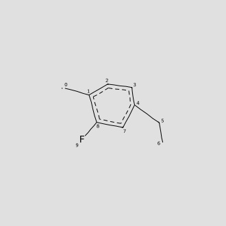 [CH2]c1ccc(CC)cc1F